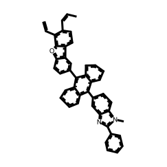 C=Cc1c(/C=C\C)ccc2c1oc1ccc(-c3c4ccccc4c(-c4ccc5c(c4)nc(-c4ccccc4)n5C)c4ccccc34)cc12